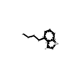 CCCCc1cccc2occc12